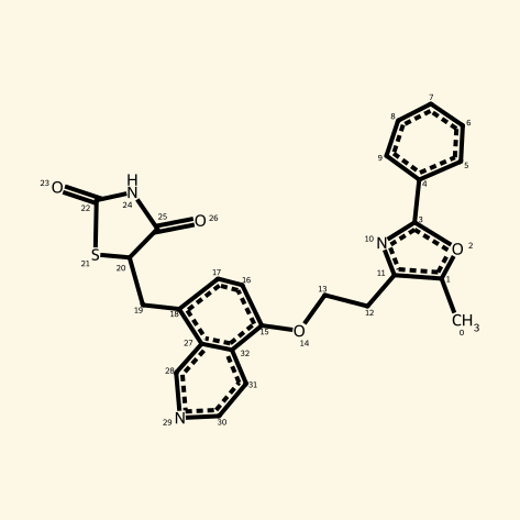 Cc1oc(-c2ccccc2)nc1CCOc1ccc(CC2SC(=O)NC2=O)c2cnccc12